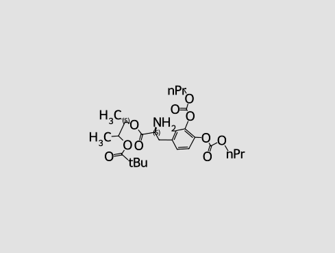 CCCOC(=O)Oc1ccc(C[C@H](N)C(=O)O[C@@H](C)C(C)OC(=O)C(C)(C)C)cc1OC(=O)OCCC